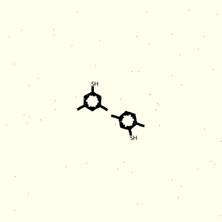 Cc1cc(C)cc(S)c1.Cc1ccc(C)c(S)c1